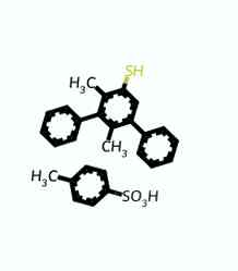 Cc1c(S)cc(-c2ccccc2)c(C)c1-c1ccccc1.Cc1ccc(S(=O)(=O)O)cc1